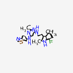 Cc1nc(NCCc2c(C)[nH]c3c(F)ccc(C)c23)cc(Nc2ccc3ncsc3c2)n1